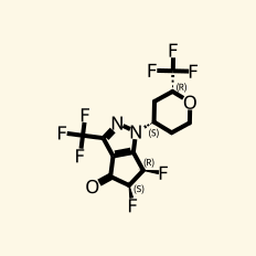 O=C1c2c(C(F)(F)F)nn([C@H]3CCO[C@@H](C(F)(F)F)C3)c2[C@@H](F)[C@H]1F